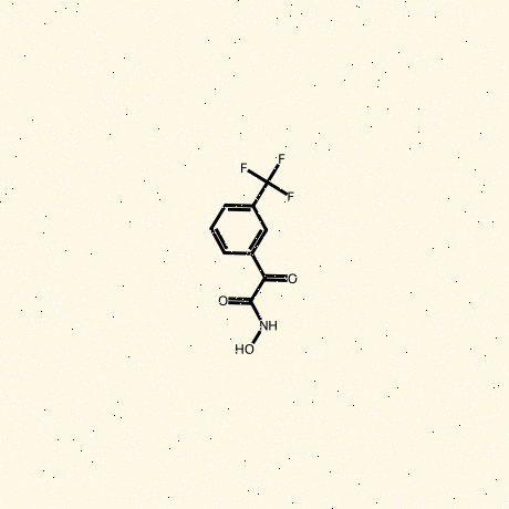 O=C(NO)C(=O)c1cccc(C(F)(F)F)c1